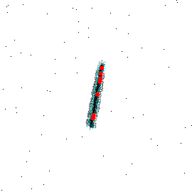 FC(F)C(F)(F)C(F)(F)C(F)(F)C(F)(F)C(F)(F)C(F)(F)C(F)(F)C(F)(F)C(F)(F)C(F)(F)C(F)(F)C(F)(F)C(F)(F)C(F)(F)C(F)(F)C(F)(F)C(F)(F)C(F)(F)C(F)(F)C(F)(F)C(F)(F)C(F)(F)C(F)(F)F